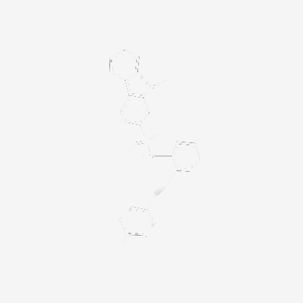 Cn1c2ccccc2c2ccc(S(=O)(=O)Nc3ccccc3C#Cc3ccc(C(=O)O)nc3)cc21